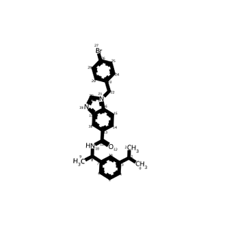 CC(C)c1cccc(C(C)NC(=O)c2ccc3c(c2)ncn3Cc2ccc(Br)cc2)c1